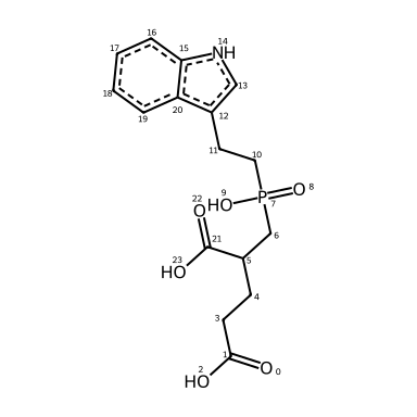 O=C(O)CCC(CP(=O)(O)CCc1c[nH]c2ccccc12)C(=O)O